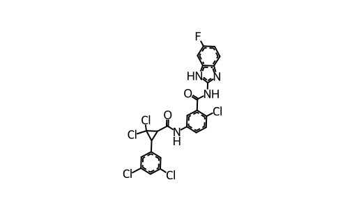 O=C(Nc1nc2ccc(F)cc2[nH]1)c1cc(NC(=O)C2C(c3cc(Cl)cc(Cl)c3)C2(Cl)Cl)ccc1Cl